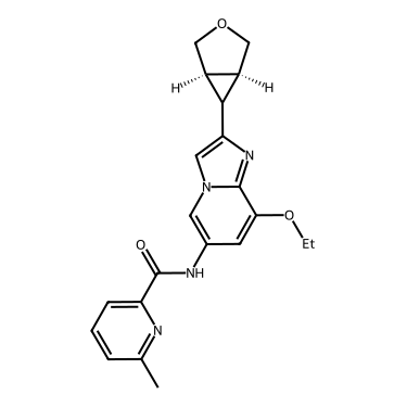 CCOc1cc(NC(=O)c2cccc(C)n2)cn2cc(C3[C@H]4COC[C@@H]34)nc12